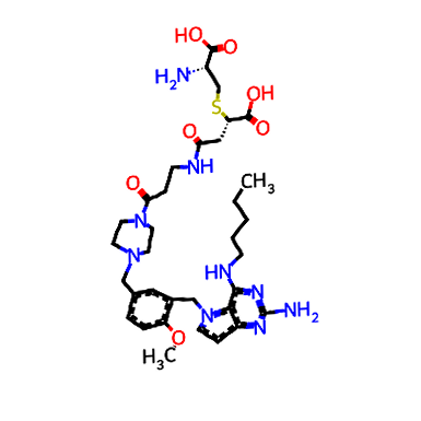 CCCCCNc1nc(N)nc2ccn(Cc3cc(CN4CCN(C(=O)CCNC(=O)C[C@H](SC[C@H](N)C(=O)O)C(=O)O)CC4)ccc3OC)c12